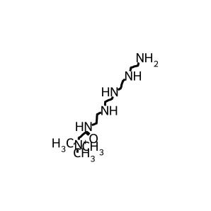 C[N+](C)(C)CC(=O)NCCNCCNCCNCCN